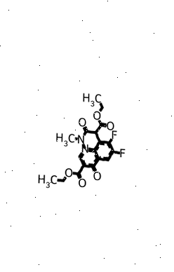 CCOC(=O)c1cn2c3c(c(F)c(F)cc3c1=O)C(C(=O)OCC)C(=O)N2C